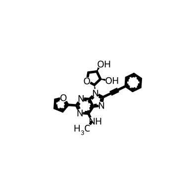 CNc1nc(-c2ccco2)nc2c1nc(C#Cc1ccccc1)n2[C@@H]1OC[C@@H](O)[C@H]1O